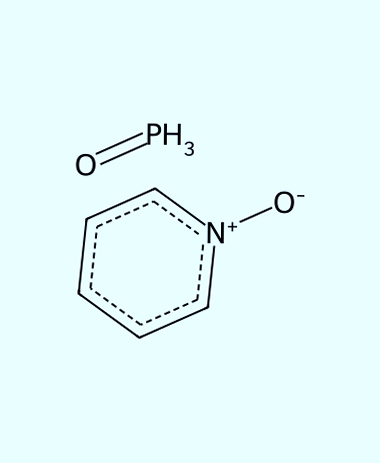 O=[PH3].[O-][n+]1ccccc1